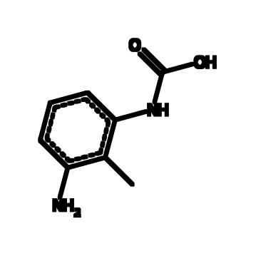 Cc1c(N)cccc1NC(=O)O